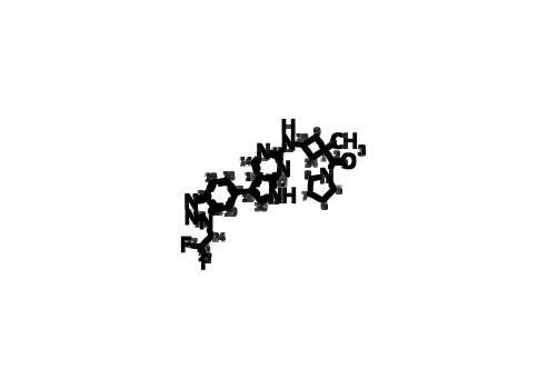 CC1(C(=O)N2CCCC2)CC(Nc2ncc3c(-c4ccc5nnn(CC(F)F)c5c4)c[nH]c3n2)C1